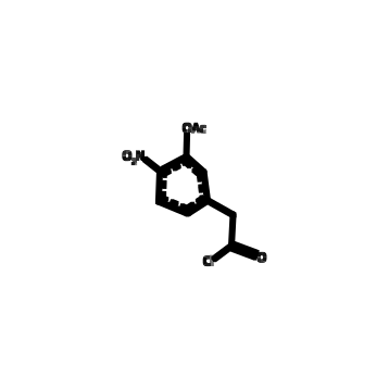 CC(=O)Oc1cc(CC(=O)Cl)ccc1[N+](=O)[O-]